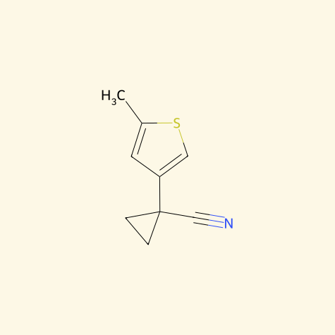 Cc1cc(C2(C#N)CC2)cs1